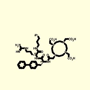 CC(C)CCCNC(=O)[C@@H](CCCNC(=N)N)NC(=O)[C@@H](Cc1ccc(-c2ccccc2)cc1)NC(=O)CN1CCN(CC(=O)O)CCN(CC(=O)O)CCN(CC(=O)O)CC1